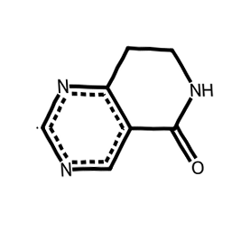 O=C1NCCc2n[c]ncc21